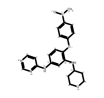 C[S+]([O-])c1ccc(Oc2ccc(Nc3ccncn3)cc2NC2CCOCC2)cc1